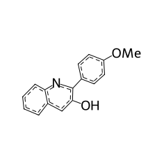 COc1ccc(-c2nc3ccccc3cc2O)cc1